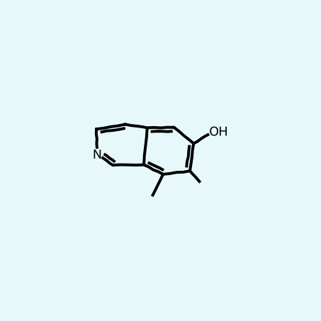 Cc1c(O)cc2ccncc2c1C